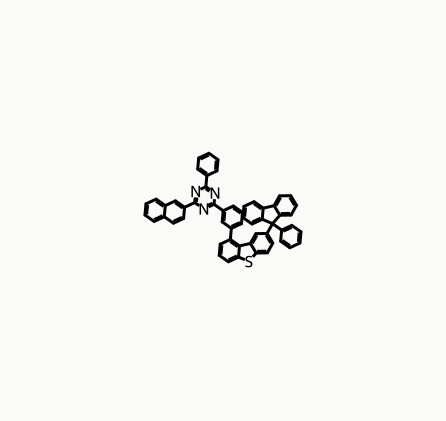 c1ccc(-c2nc(-c3cccc(-c4cccc5sc6ccc(C7(c8ccccc8)c8ccccc8-c8ccccc87)cc6c45)c3)nc(-c3ccc4ccccc4c3)n2)cc1